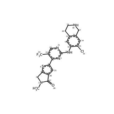 CN1Cc2sc(-c3nc(Nc4cc5c(cc4Cl)CNCC5)ncc3C(F)(F)F)cc2C1=O